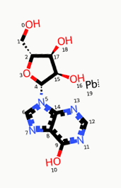 OC[C@H]1O[C@@H](n2cnc3c(O)ncnc32)[C@H](O)[C@@H]1O.[Pb]